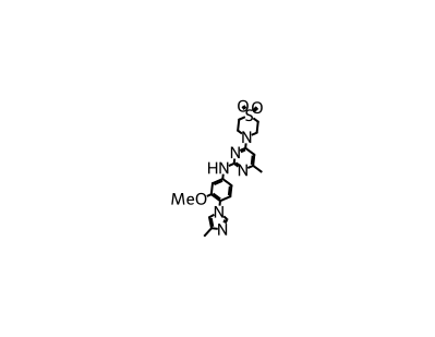 COc1cc(Nc2nc(C)cc(N3CCS(=O)(=O)CC3)n2)ccc1-n1cnc(C)c1